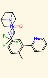 Cc1ccc(NC(=O)N2C3CC2CN(CC(F)(F)F)C3)cc1-c1ccccn1